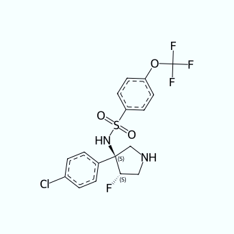 O=S(=O)(N[C@@]1(c2ccc(Cl)cc2)CNC[C@@H]1F)c1ccc(OC(F)(F)F)cc1